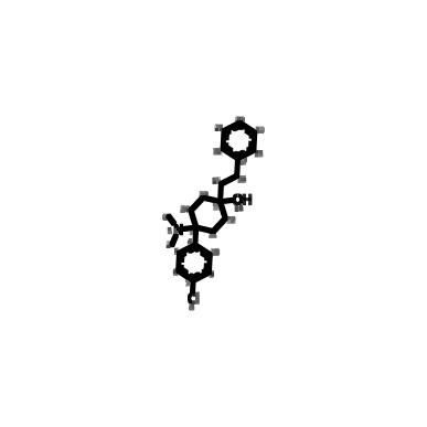 CN(C)C1(c2ccc(Cl)cc2)CCC(O)(CCc2ccccc2)CC1